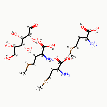 CSCCC(N)C(=O)O.CSCCC(N)C(=O)O.CSCCC(N)C(=O)O.O=C[C@H](O)[C@@H](O)[C@H](O)[C@H](O)CO